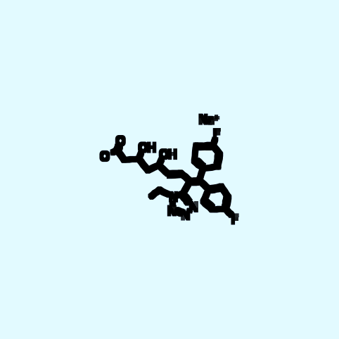 CCn1nnnc1C(C=CC(O)CC(O)CC(=O)[O-])=C(c1ccc(F)cc1)c1ccc(F)cc1.[Na+]